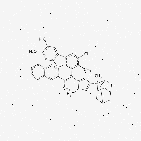 C/[C](c1ccc2ccccc2c1)=[Zr](\[C]1=CC(C2(C)C3CC4CC(C3)CC2C4)=CC1C)[c]1c(C)c(C)cc2c1Cc1cc(C)c(C)cc1-2